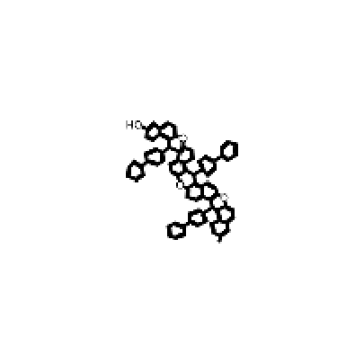 Cc1ccc2c3c(ccc2c1)Oc1ccc2c4c(ccc2c1C3c1ccc(-c2ccccc2)cc1)Oc1ccc2c3c(ccc2c1C4c1ccc(-c2ccccc2)cc1)Oc1ccc2cc(O)ccc2c1C3c1ccc(-c2ccccc2)cc1